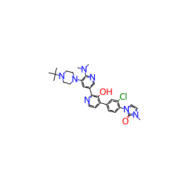 CN(C)c1ncc(-c2nccc(-c3ccc(-n4ccn(C)c4=O)c(Cl)c3)c2O)cc1N1CCN(C(C)(C)C)CC1